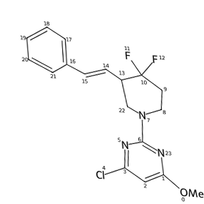 COc1cc(Cl)nc(N2CCC(F)(F)C(/C=C/c3ccccc3)C2)n1